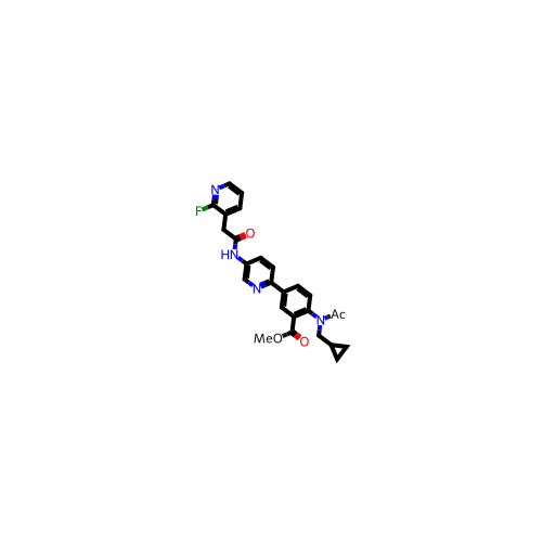 COC(=O)c1cc(-c2ccc(NC(=O)Cc3cccnc3F)cn2)ccc1N(CC1CC1)C(C)=O